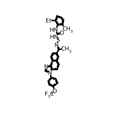 CCc1cccc(C)c1NC(=O)NS/N=C(\C)c1ccc2c(ccc3c2ncn3-c2ccc(OC(F)(F)F)cc2)c1